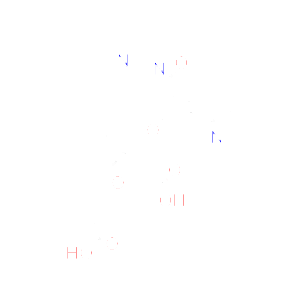 CN1CCN(C(=O)c2cc(OCc3cccc(OCCCC(=O)O)c3CCC(=O)O)cc(-c3cccn3C)c2)CC1